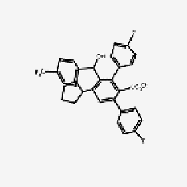 CCOC(=O)c1c(-c2ccc(F)cc2)[c]c(C2CCCC2)c(C(O)c2ccc(C(F)(F)F)cc2)c1-c1ccc(F)cc1